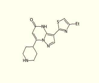 CCc1csc(-c2cnn3c(C4CCNCC4)cc(=O)[nH]c23)n1